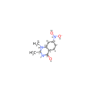 Cc1nc(=O)c2ccc([N+](=O)[O-])cc2n1C